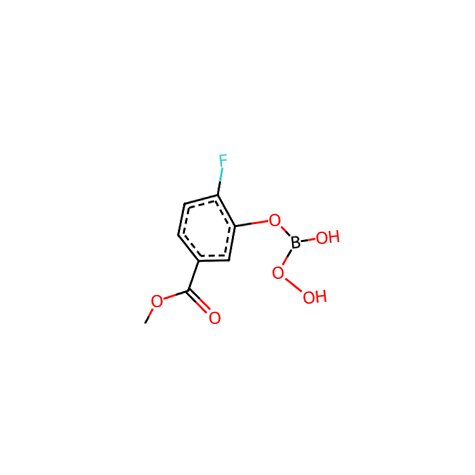 COC(=O)c1ccc(F)c(OB(O)OO)c1